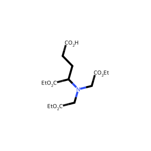 CCOC(=O)CN(CC(=O)OCC)C(CCC(=O)O)C(=O)OCC